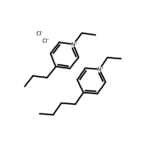 CCCCc1cc[n+](CC)cc1.CCCc1cc[n+](CC)cc1.[Cl-].[Cl-]